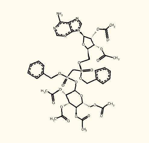 CC(=O)OC[C@H]1OC(OP(=O)(CP(=O)(OCc2ccccc2)OC[C@H]2O[C@@H](n3cnc4c(N)ncnc43)[C@H](OC(C)=O)[C@@H]2OC(C)=O)OCc2ccccc2)[C@@H](OC(C)=O)[C@@H](OC(C)=O)[C@@H]1OC(C)=O